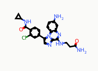 NC(=O)CCNc1nc2cc(N)ccc2n2c(-c3ccc(C(=O)NC4CC4)c(Cl)c3)cnc12